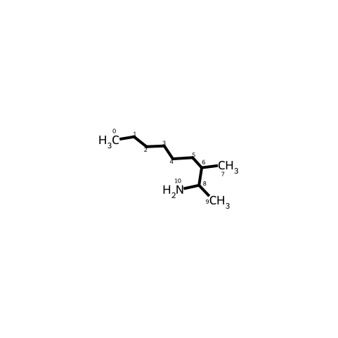 CCCCCCC(C)C(C)N